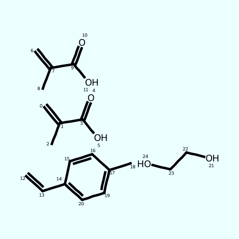 C=C(C)C(=O)O.C=C(C)C(=O)O.C=Cc1ccc(C)cc1.OCCO